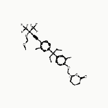 CCC(CC)(c1ccc(C#CC(OCOC)(C(F)(F)F)C(F)(F)F)c(C)c1)c1ccc(OC[C@@H]2CCCC(=O)O2)c(C)c1